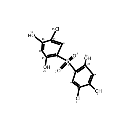 O=S(=O)(c1cc(Cl)c(O)cc1O)c1cc(Cl)c(O)cc1O